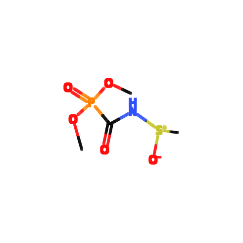 COP(=O)(OC)C(=O)N[S+](C)[O-]